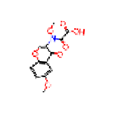 COc1ccc2occ(N(OC)C(=O)C(=O)O)c(=O)c2c1